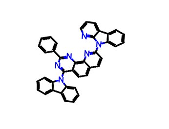 c1ccc(-c2nc(-n3c4ccccc4c4ccccc43)c3ccc4ccc(-n5c6ccccc6c6cccnc65)nc4c3n2)cc1